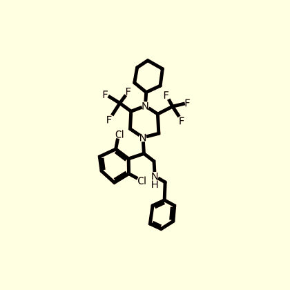 FC(F)(F)C1CN(C(CNCc2ccccc2)c2c(Cl)cccc2Cl)CC(C(F)(F)F)N1C1CCCCC1